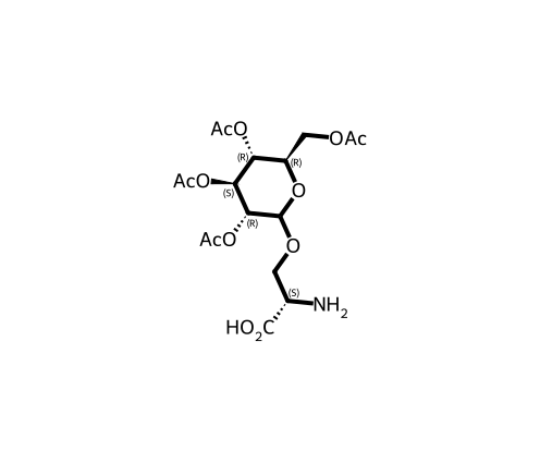 CC(=O)OC[C@H]1OC(OC[C@H](N)C(=O)O)[C@H](OC(C)=O)[C@@H](OC(C)=O)[C@@H]1OC(C)=O